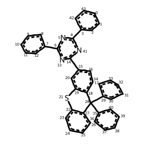 c1ccc(-c2nc(-c3ccccc3)nc(-c3ccc4c(c3)Sc3ccccc3C4(c3ccccc3)c3ccccc3)n2)cc1